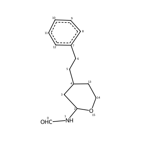 O=CNC1CC(CCc2ccccc2)CCO1